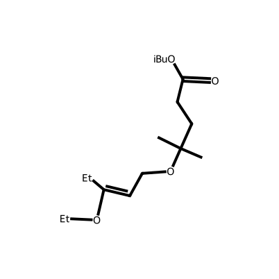 CCO/C(=C/COC(C)(C)CCC(=O)OCC(C)C)CC